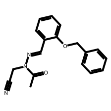 CC(=O)N(CC#N)/N=C/c1ccccc1OCc1ccccc1